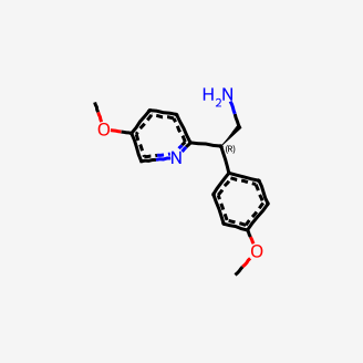 COc1ccc([C@H](CN)c2ccc(OC)cn2)cc1